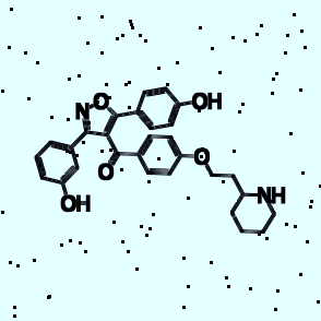 O=C(c1ccc(OCCC2CCCCN2)cc1)c1c(-c2cccc(O)c2)noc1-c1ccc(O)cc1